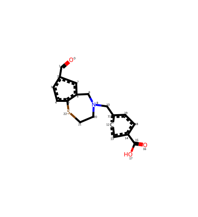 O=Cc1ccc2c(c1)CN(Cc1ccc(C(=O)O)cc1)CCS2